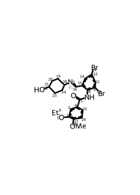 CCOc1cc(C(=O)Nc2c(Br)cc(Br)cc2/C=N/C2CCC(O)CC2)ccc1OC